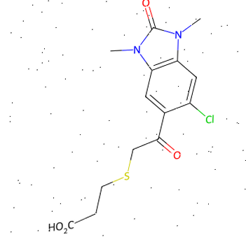 Cn1c(=O)n(C)c2cc(C(=O)CSCCC(=O)O)c(Cl)cc21